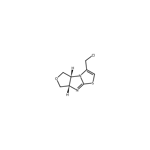 ClCC1=CSC2=N[C@@H]3COC[C@@H]3N12